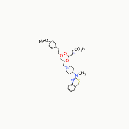 COc1ccc(CCOCC(CN2CCC(N(C)C3=Nc4ccccc4CS3)CC2)OC(=O)/C=C/C(=O)O)cc1